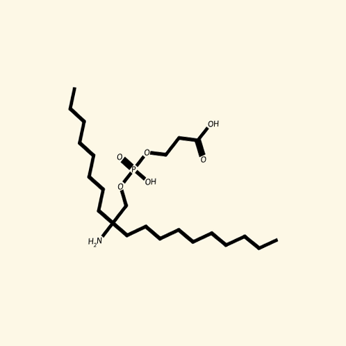 CCCCCCCCCCC(N)(CCCCCCCC)COP(=O)(O)OCCC(=O)O